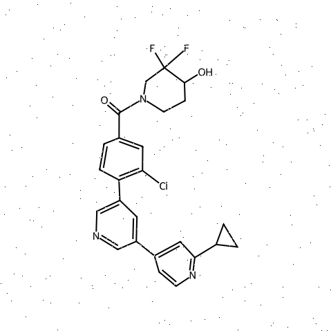 O=C(c1ccc(-c2cncc(-c3ccnc(C4CC4)c3)c2)c(Cl)c1)N1CCC(O)C(F)(F)C1